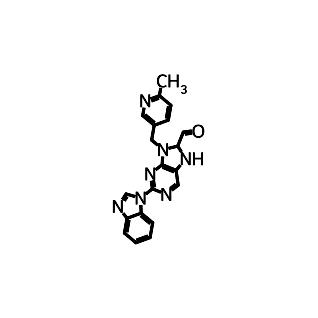 Cc1ccc(CN2c3nc(-n4cnc5ccccc54)ncc3NC2C=O)cn1